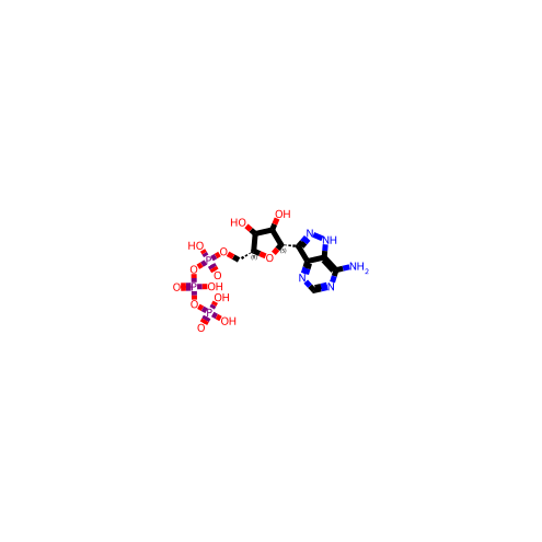 Nc1ncnc2c([C@@H]3O[C@H](COP(=O)(O)OP(=O)(O)OP(=O)(O)O)C(O)C3O)n[nH]c12